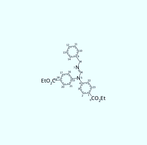 CCOC(=O)c1ccc(N(C=NCc2ccccc2)c2ccc(C(=O)OCC)cc2)cc1